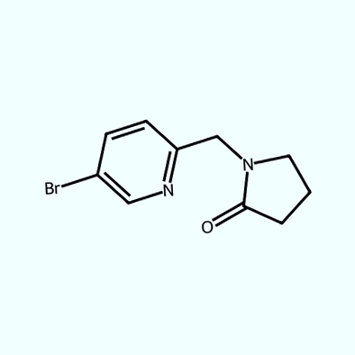 O=C1CCCN1Cc1ccc(Br)cn1